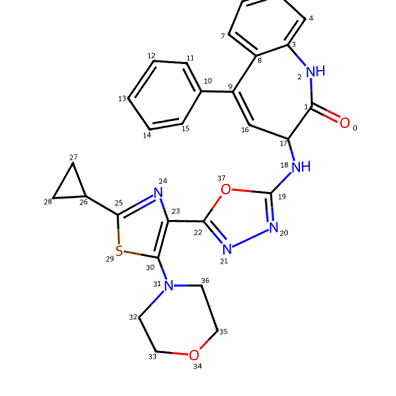 O=C1Nc2ccccc2C(c2ccccc2)=CC1Nc1nnc(-c2nc(C3CC3)sc2N2CCOCC2)o1